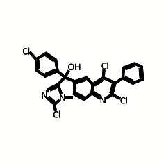 Cn1c(C(O)(c2ccc(Cl)cc2)c2ccc3nc(Cl)c(-c4ccccc4)c(Cl)c3c2)cnc1Cl